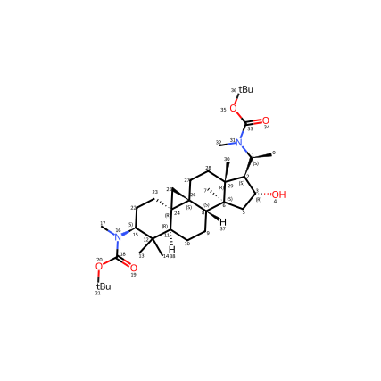 C[C@@H]([C@H]1[C@H](O)C[C@@]2(C)[C@@H]3CC[C@H]4C(C)(C)[C@@H](N(C)C(=O)OC(C)(C)C)CC[C@@]45C[C@@]35CC[C@]12C)N(C)C(=O)OC(C)(C)C